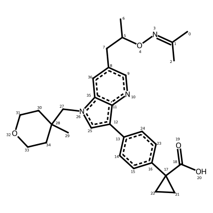 CC(C)=NOC(C)Cc1cnc2c(-c3ccc(C4(C(=O)O)CC4)cc3)cn(CC3(C)CCOCC3)c2c1